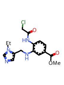 CCn1cncc1CNc1cc(C(=O)OC)ccc1NC(=O)CCl